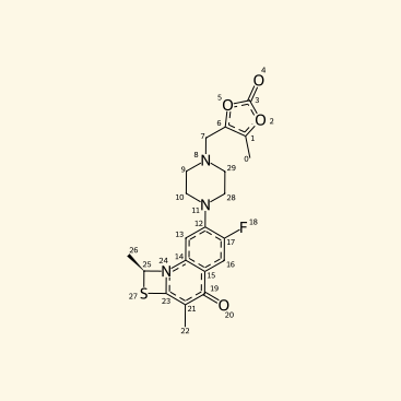 Cc1oc(=O)oc1CN1CCN(c2cc3c(cc2F)c(=O)c(C)c2n3[C@H](C)S2)CC1